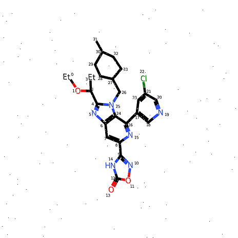 CCOC(CC)c1nc2cc(-c3noc(=O)[nH]3)nc(-c3cncc(Cl)c3)c2n1CC1CCC(C)CC1